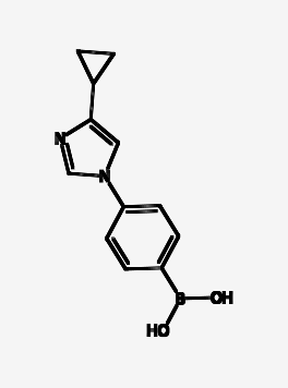 OB(O)c1ccc(-n2cnc(C3CC3)c2)cc1